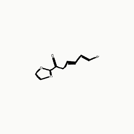 O=C(CC=CC=CBr)C1OCCO1